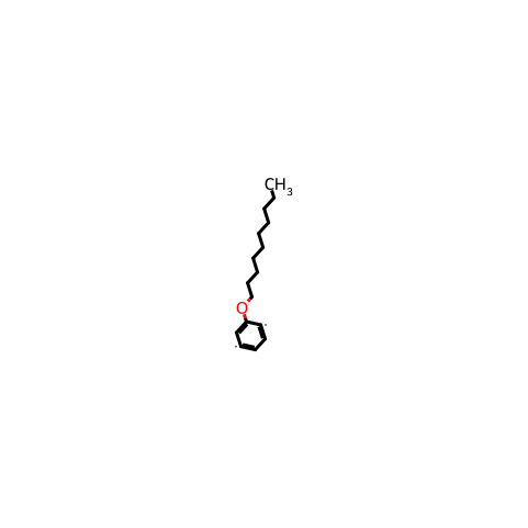 CCCCCCCCCCOc1[c]cc[c]c1